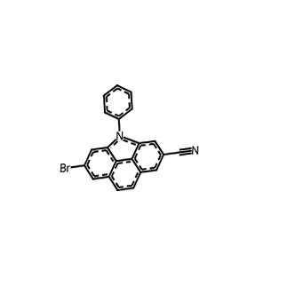 N#Cc1cc2ccc3cc(Br)cc4c3c2c(c1)n4-c1ccccc1